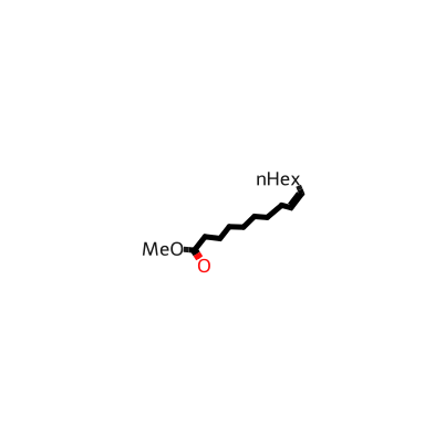 CCCCCC/C=C\CCCCCCCC(=O)OC